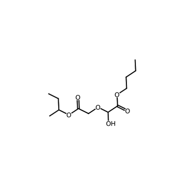 CCCCOC(=O)C(O)OCC(=O)OC(C)CC